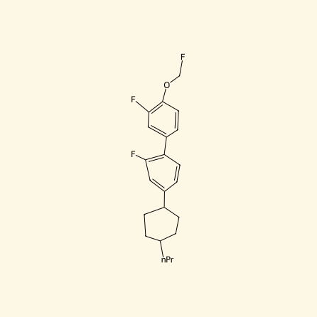 CCCC1CCC(c2ccc(-c3ccc(OCF)c(F)c3)c(F)c2)CC1